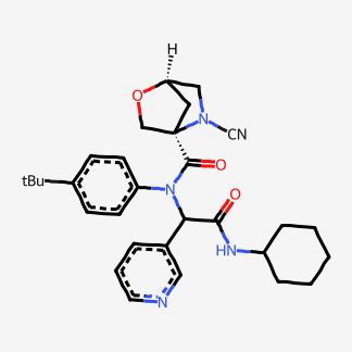 CC(C)(C)c1ccc(N(C(=O)[C@@]23CO[C@@H](CN2C#N)C3)C(C(=O)NC2CCCCC2)c2cccnc2)cc1